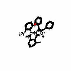 Cc1cccc2c1-c1n(c(-c3ccccc3)c(-c3ccccc3)[n+]1C)B(c1c(C(C)C)cccc1C(C)C)N2C